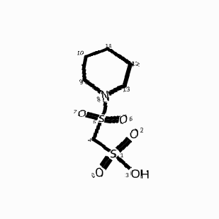 O=S(=O)(O)CS(=O)(=O)N1CCCCC1